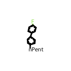 [CH2]CCCCc1ccc(-c2ccc(F)cc2)cc1